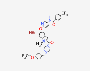 Br.Cn1c(C(=O)N2CCN(Cc3ccc(OCC(F)(F)F)cc3)CC2)cc2cc(Oc3ccc(NC(=O)c4ccc(C(F)(F)F)cc4)cn3)ccc21